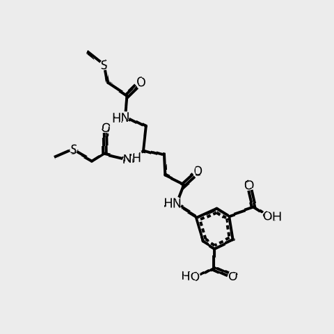 CSCC(=O)NCC(CCC(=O)Nc1cc(C(=O)O)cc(C(=O)O)c1)NC(=O)CSC